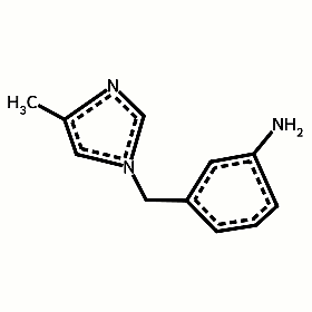 Cc1cn(Cc2cccc(N)c2)cn1